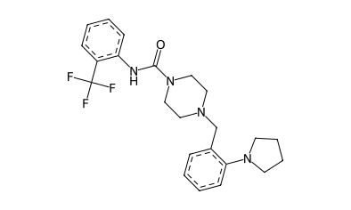 O=C(Nc1ccccc1C(F)(F)F)N1CCN(Cc2ccccc2N2CCCC2)CC1